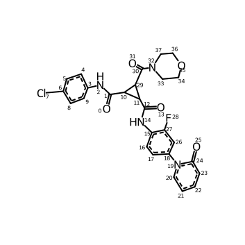 O=C(Nc1ccc(Cl)cc1)C1C(C(=O)Nc2ccc(-n3ccccc3=O)cc2F)C1C(=O)N1CCOCC1